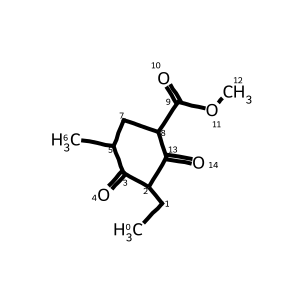 CCC1C(=O)C(C)CC(C(=O)OC)C1=O